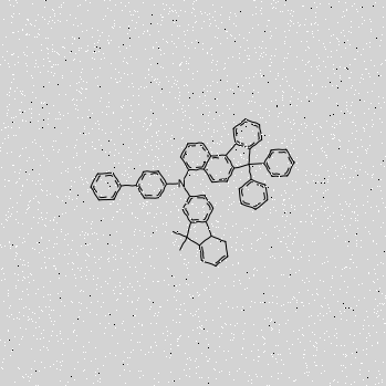 CC1(C)C2=CC=CCC2c2ccc(N(c3ccc(-c4ccccc4)cc3)c3cccc4c5c(ccc34)C(c3ccccc3)(c3ccccc3)c3ccccc3-5)cc21